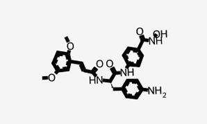 COc1ccc(OC)c(/C=C/C(=O)N[C@@H](Cc2ccc(N)cc2)C(=O)Nc2ccc(C(=O)NO)cc2)c1